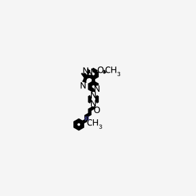 CCOc1cc(-c2ccc(N3CCN(C(=O)CC/C=C(\C)c4ccccc4)CC3)nc2)c2c(C#N)cnn2c1